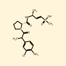 CC(C(=O)N1CCC[C@@H]1C(=O)N[C@@H](C)/C=C/P(C)(=O)O)c1ccc(N)c(Cl)c1